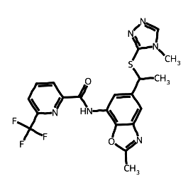 Cc1nc2cc(C(C)Sc3nncn3C)cc(NC(=O)c3cccc(C(F)(F)F)n3)c2o1